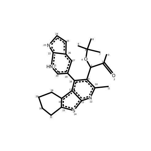 CC(=O)C(OC(C)(C)C)c1c(C)nc2sc3c(c2c1-c1c[nH]c2nccc-2c1)CCCC3